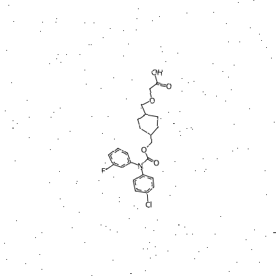 O=C(O)COCC1CCC(COC(=O)N(c2ccc(Cl)cc2)c2cccc(F)c2)CC1